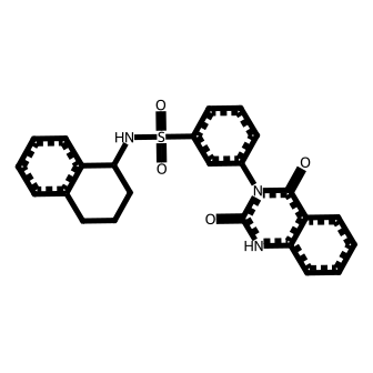 O=c1[nH]c2ccccc2c(=O)n1-c1cccc(S(=O)(=O)NC2CCCc3ccccc32)c1